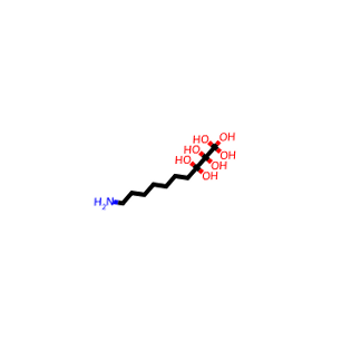 NCCCCCCCC(O)(O)C(O)(O)C(O)(O)O